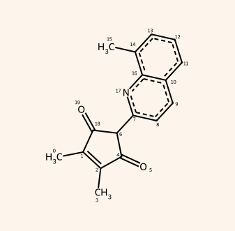 CC1=C(C)C(=O)C(c2ccc3cccc(C)c3n2)C1=O